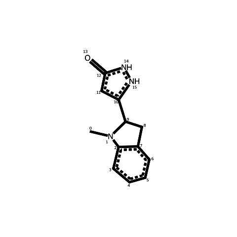 CN1c2ccccc2CC1c1cc(=O)[nH][nH]1